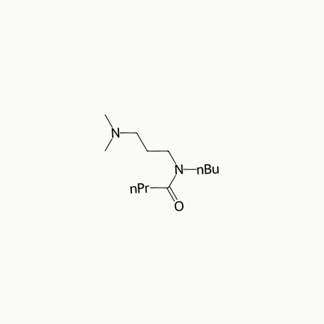 CCCCN(CCCN(C)C)C(=O)CCC